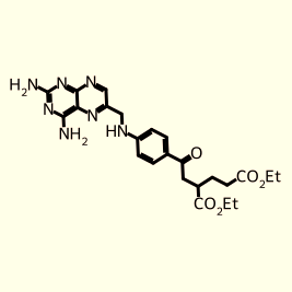 CCOC(=O)CCC(CC(=O)c1ccc(NCc2cnc3nc(N)nc(N)c3n2)cc1)C(=O)OCC